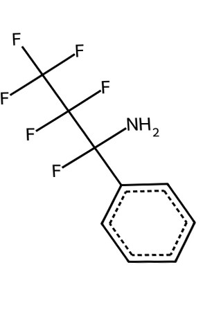 NC(F)(c1ccccc1)C(F)(F)C(F)(F)F